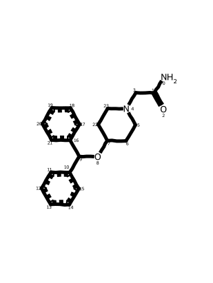 NC(=O)CN1CCC(OC(c2ccccc2)c2ccccc2)CC1